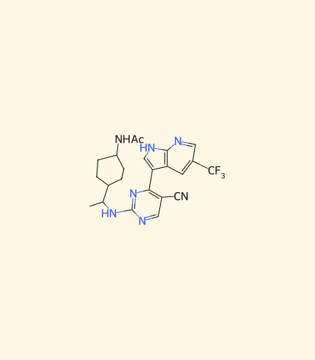 CC(=O)NC1CCC(C(C)Nc2ncc(C#N)c(-c3c[nH]c4ncc(C(F)(F)F)cc34)n2)CC1